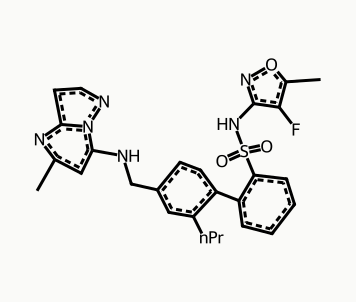 CCCc1cc(CNc2cc(C)nc3ccnn23)ccc1-c1ccccc1S(=O)(=O)Nc1noc(C)c1F